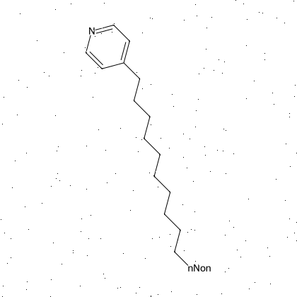 CCCCCCCCCCCCCCCCCCCc1ccncc1